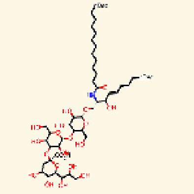 CCCCCCCCCCCCC/C=C/[C@@H](O)[C@H](CO[C@@H]1OC(CO)[C@@H](O[C@@H]2OC(CO)[C@H](O)[C@H](O[C@]3(C(=O)O)CC(O)[C@@H](O)C([C@H](O)[C@H](O)CO)O3)C2O)[C@H](O)C1O)NC(=O)CCCCCCCCCCCCCCCCCCCCC